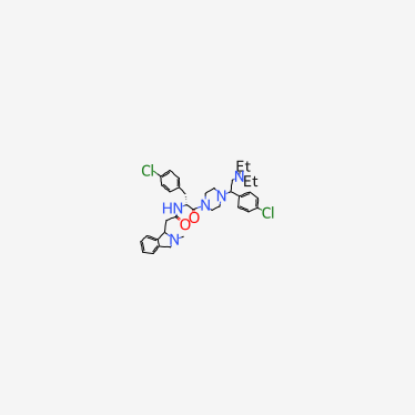 CCN(CC)CC(c1ccc(Cl)cc1)N1CCN(C(=O)[C@@H](Cc2ccc(Cl)cc2)NC(=O)CC2c3ccccc3CN2C)CC1